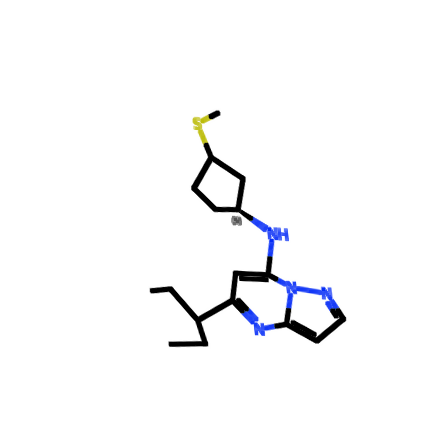 CCC(CC)c1cc(N[C@H]2CCC(SC)C2)n2nccc2n1